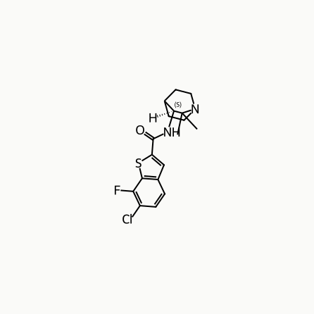 CC1(C)[C@@H](NC(=O)c2cc3ccc(Cl)c(F)c3s2)C2CCN1CC2